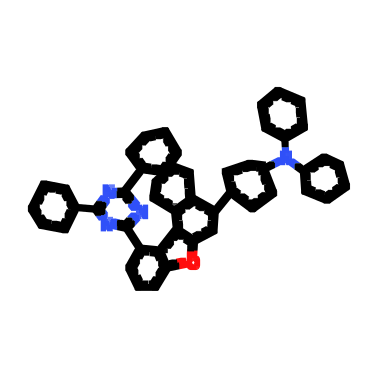 c1ccc(-c2nc(-c3ccccc3)nc(-c3cccc4oc5cc(-c6ccc(N(c7ccccc7)c7ccccc7)cc6)c6ccccc6c5c34)n2)cc1